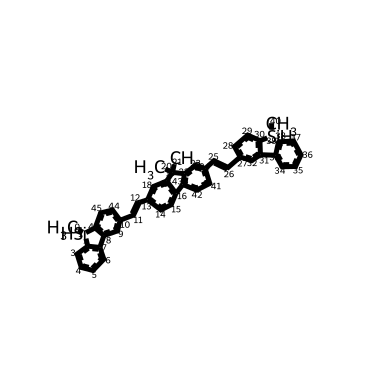 C[SiH]1c2ccccc2-c2cc(/C=C/c3ccc4c(c3)C(C)(C)c3cc(/C=C/c5ccc6c(c5)-c5ccccc5[SiH]6C)ccc3-4)ccc21